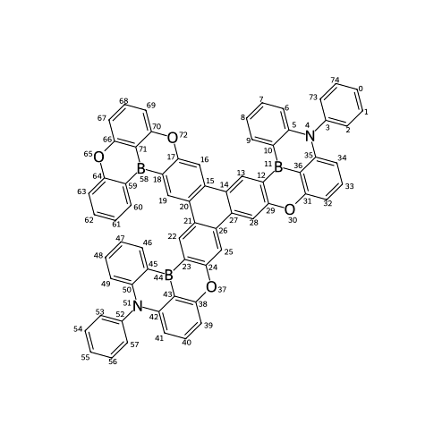 c1ccc(N2c3ccccc3B3c4cc5c6cc7c(cc6c6cc8c(cc6c5cc4Oc4cccc2c43)Oc2cccc3c2B8c2ccccc2N3c2ccccc2)B2c3ccccc3Oc3cccc(c32)O7)cc1